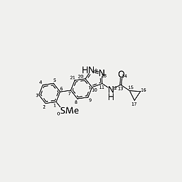 CSc1ccccc1-c1ccc2c(NC(=O)C3CC3)n[nH]c2c1